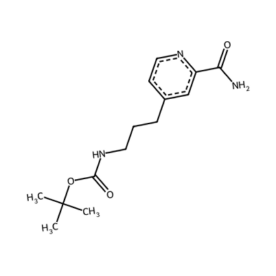 CC(C)(C)OC(=O)NCCCc1ccnc(C(N)=O)c1